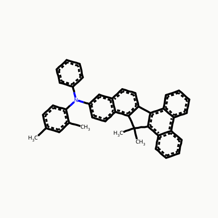 Cc1ccc(N(c2ccccc2)c2ccc3c4c(ccc3c2)-c2c(c3ccccc3c3ccccc23)C4(C)C)c(C)c1